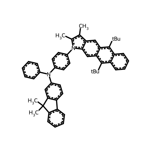 Cc1c(C)n(-c2ccc(N(c3ccccc3)c3ccc4c(c3)C(C)(C)c3ccccc3-4)cc2)c2cc3c(C(C)(C)C)c4ccccc4c(C(C)(C)C)c3cc12